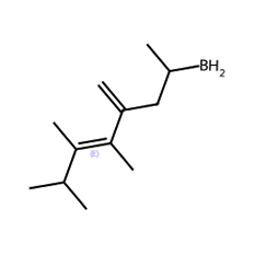 BC(C)CC(=C)/C(C)=C(\C)C(C)C